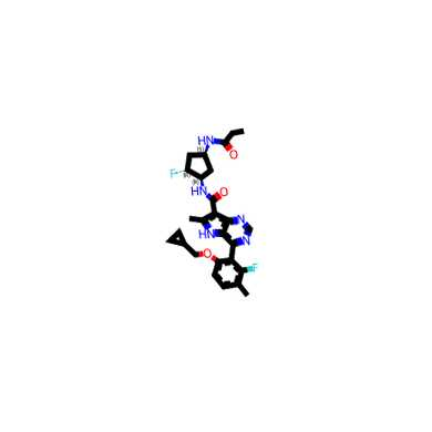 CCC(=O)N[C@@H]1C[C@@H](F)[C@H](NC(=O)c2c(C)[nH]c3c(-c4c(OCC5CC5)ccc(C)c4F)ncnc23)C1